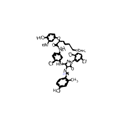 CCCCCCCCCCCCCCC(Oc1ccc(O)c(C(C)(C)C)c1)C(=O)Nc1ccc(Cl)c(NC2=NN(c3cc(Cl)ccc3Cl)C(=O)C2/N=N/c2ccc(O)cc2C)c1